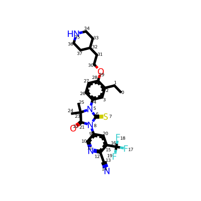 CCc1cc(N2C(=S)N(c3cnc(C#N)c(C(F)(F)F)c3)C(=O)C2(C)C)ccc1OCCC1CCNCC1